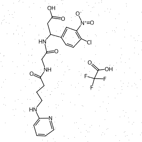 O=C(O)C(F)(F)F.O=C(O)CC(NC(=O)CNC(=O)CCCNc1ccccn1)c1ccc(Cl)c([N+](=O)[O-])c1